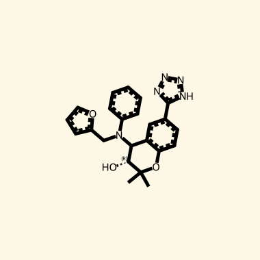 CC1(C)Oc2ccc(-c3nnn[nH]3)cc2C(N(Cc2ccco2)c2ccccc2)[C@H]1O